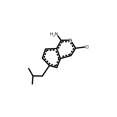 CC(C)Cc1ccc2c(N)nc(Cl)cc2c1